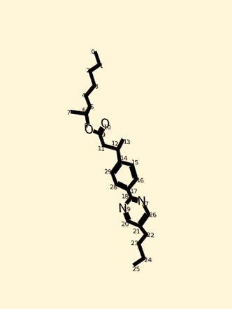 CCCCCCC(C)OC(=O)CC(C)c1ccc(-c2ncc(CCCC)cn2)cc1